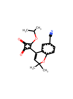 CC(C)Oc1c(C2=CC(C)(C)Oc3ccc(C#N)cc32)c(=O)c1=O